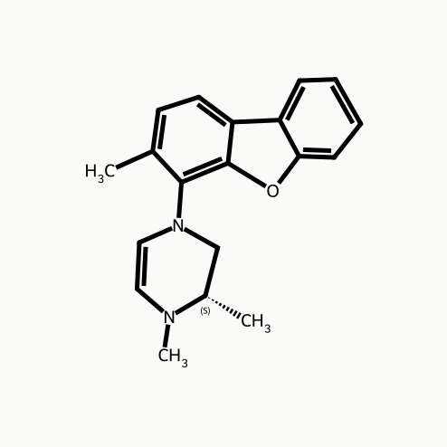 Cc1ccc2c(oc3ccccc32)c1N1C=CN(C)[C@@H](C)C1